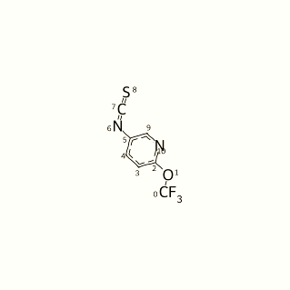 FC(F)(F)Oc1ccc(N=C=S)cn1